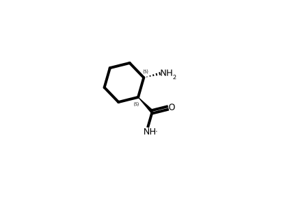 [NH]C(=O)[C@H]1CCCC[C@@H]1N